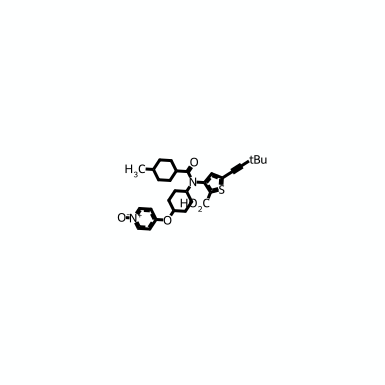 CC1CCC(C(=O)N(c2cc(C#CC(C)(C)C)sc2C(=O)O)C2CCC(Oc3cc[n+]([O-])cc3)CC2)CC1